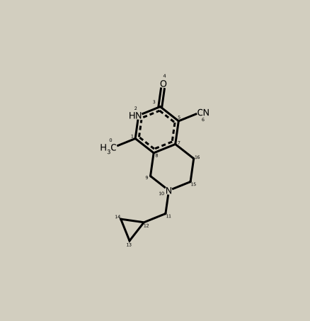 Cc1[nH]c(=O)c(C#N)c2c1CN(CC1CC1)CC2